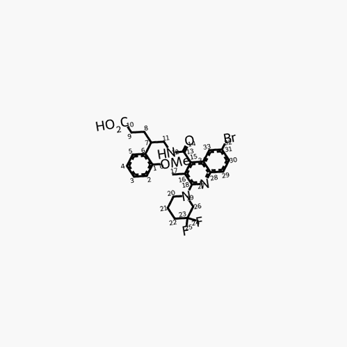 COc1ccccc1C(CCC(=O)O)CNC(=O)c1c(C)c(N2CCCC(F)(F)C2)nc2ccc(Br)cc12